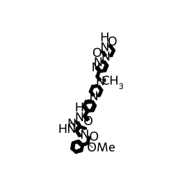 CO[C@@H](C(=O)N1Cc2[nH]nc(NC(=O)c3ccc(N4CCC(N(C)Cc5ccc(N6CCC(=O)NC6=O)nn5)CC4)cc3)c2C1)c1ccccc1